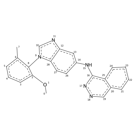 COc1cccc(C)c1-n1cnc2cc(Nc3nncc4ccccc34)ccc21